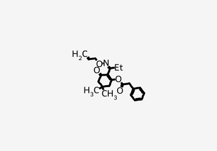 C=CCO/N=C(/CC)C1=C(OC(=O)Cc2ccccc2)CC(C)(C)CC1=O